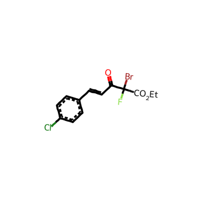 CCOC(=O)C(F)(Br)C(=O)C=Cc1ccc(Cl)cc1